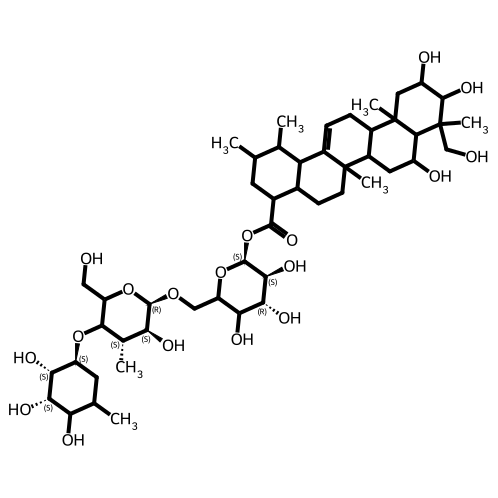 CC1CC(C(=O)O[C@@H]2OC(CO[C@@H]3OC(CO)C(O[C@H]4CC(C)C(O)[C@H](O)[C@@H]4O)[C@@H](C)[C@@H]3O)C(O)[C@@H](O)[C@@H]2O)C2CCC3(C)C(=CCC4C3CC(O)C3C(C)(CO)C(O)C(O)CC43C)C2C1C